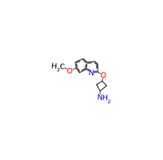 COc1ccc2ccc(OC3CC(N)C3)nc2c1